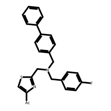 CC(=O)c1csc(CN(Cc2ccc(F)cc2)Cc2ccc(-c3ccccc3)cc2)n1